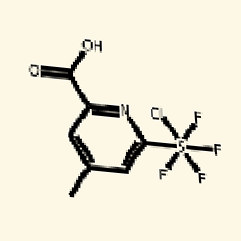 Cc1cc(C(=O)O)nc(S(F)(F)(F)(F)Cl)c1